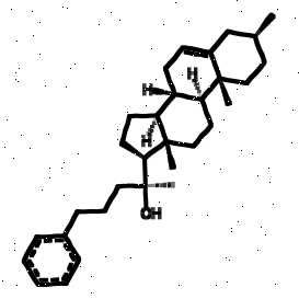 C[C@H]1CC[C@@]2(C)C(=CC[C@H]3[C@@H]4CC[C@H]([C@@](C)(O)CCCc5ccccc5)[C@@]4(C)CC[C@@H]32)C1